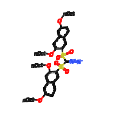 CCCCCCCCOc1ccc2cc(S(=O)(=O)C(=[N+]=[N-])S(=O)(=O)c3cc4ccc(OCCCCCCCC)cc4cc3OCCCCCCCC)c(OCCCCCCCC)cc2c1